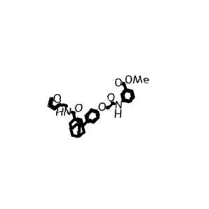 COC(=O)c1cccc(NC(=O)COc2ccc(C34CC5CC(CC(C(=O)NCc6ccco6)(C5)C3)C4)cc2)c1